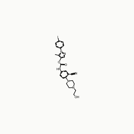 Cc1c(OC(=O)Nc2ccc(N3CCN(CCO)CC3)c(C#N)c2)cnn1-c1ccc(I)cc1